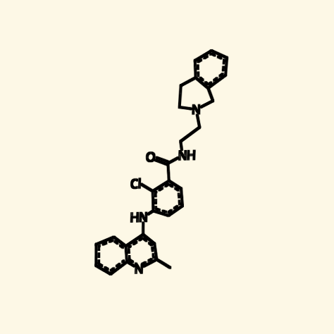 Cc1cc(Nc2cccc(C(=O)NCCN3CCc4ccccc4C3)c2Cl)c2ccccc2n1